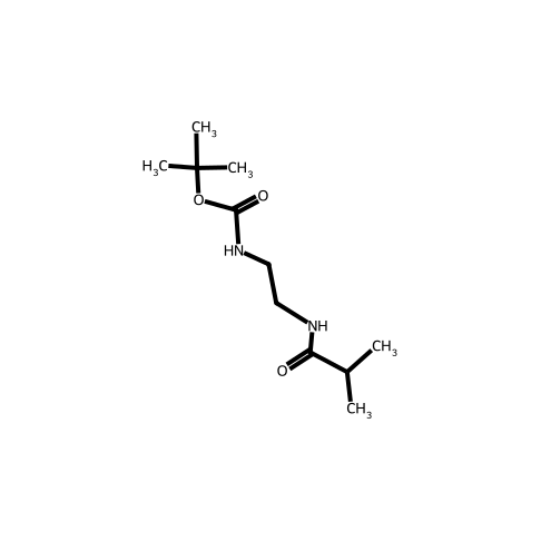 CC(C)C(=O)NCCNC(=O)OC(C)(C)C